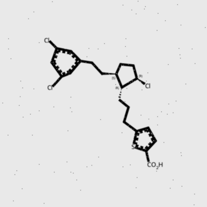 O=C(O)c1ccc(CCC[C@@H]2[C@@H](CCc3cc(Cl)cc(Cl)c3)CC[C@H]2Cl)s1